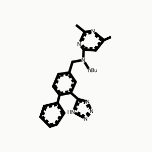 CCCCN(Cc1ccc(-c2ccccc2)c(-c2nnn[nH]2)c1)c1cc(C)nc(C)n1